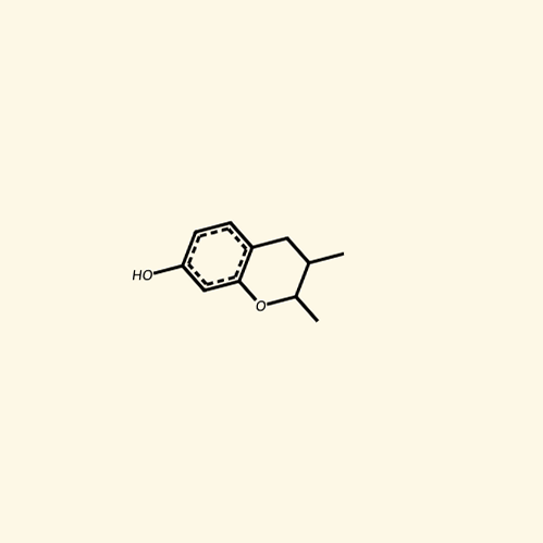 CC1Cc2ccc(O)cc2OC1C